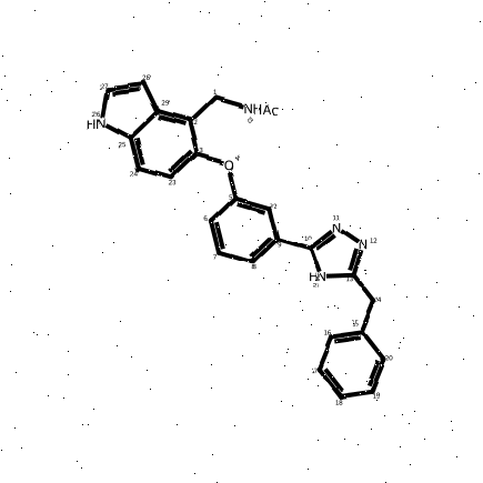 CC(=O)NCc1c(Oc2cccc(-c3nnc(Cc4ccccc4)[nH]3)c2)ccc2[nH]ccc12